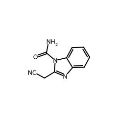 N#CCc1nc2ccccc2n1C(N)=O